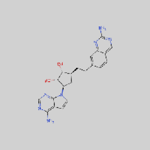 Nc1ncc2ccc(CC[C@H]3C[C@@H](n4ccc5c(N)ncnc54)[C@H](O)[C@@H]3O)cc2n1